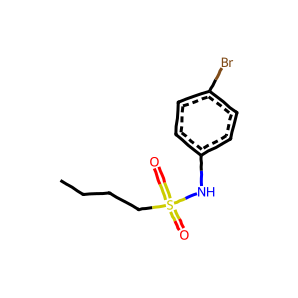 CCCCS(=O)(=O)Nc1ccc(Br)cc1